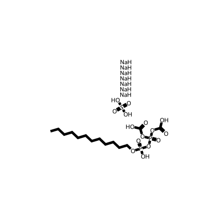 CCCCCCCCCCCCOP(=O)(O)OP(=O)(OC(=O)O)OC(=O)O.O=S(=O)(O)O.[NaH].[NaH].[NaH].[NaH].[NaH].[NaH].[NaH]